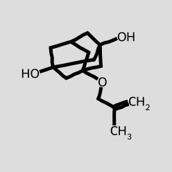 C=C(C)COC12CC3CC(O)(CC(O)(C3)C1)C2